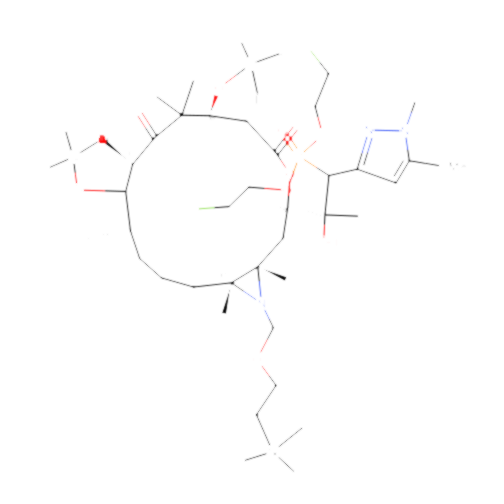 CC[Si](CC)(CC)OC1[C@@H](C)CCC[C@]2(C)[C@H](C[C@@H](C(C)(O)C(c3cc(SC)n(C)n3)P(=O)(OCCF)OCCF)OC(=O)C[C@H](O[Si](CC)(CC)CC)C(C)(C)C(=O)[C@@H]1C)N2COCC[Si](C)(C)C